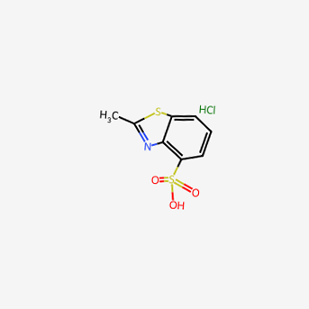 Cc1nc2c(S(=O)(=O)O)cccc2s1.Cl